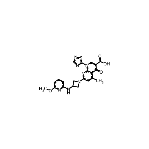 COc1cccc(NC2CN(c3cc(C)c4c(=O)c(C(=O)O)cn(-c5ncns5)c4n3)C2)n1